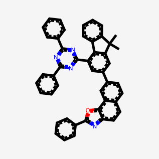 CC1(C)c2ccccc2-c2c(-c3nc(-c4ccccc4)nc(-c4ccccc4)n3)cc(-c3ccc4ccc5nc(-c6ccccc6)oc5c4c3)cc21